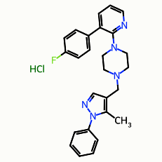 Cc1c(CN2CCN(c3ncccc3-c3ccc(F)cc3)CC2)cnn1-c1ccccc1.Cl